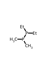 CCP(CC)P(C)C